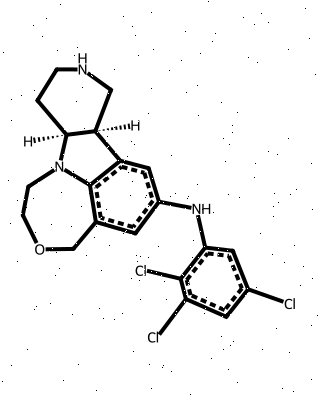 Clc1cc(Cl)c(Cl)c(Nc2cc3c4c(c2)[C@@H]2CNCC[C@@H]2N4CCOC3)c1